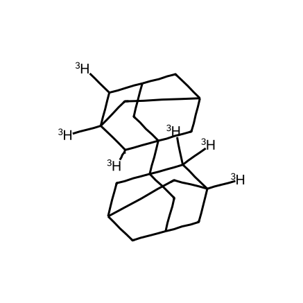 [3H][C]1C2([3H])CC3CC(CC1(C14CC5CC(CC([3H])(C5)C1([3H])[3H])C4)C3)C2[3H]